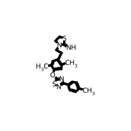 Cc1ccc(-c2nsc(Oc3cc(C)c(CCN4CCSC4=N)cc3C)n2)cc1